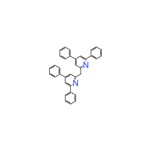 c1ccc(-c2cc(Cc3cc(-c4ccccc4)cc(-c4ccccc4)n3)nc(-c3ccccc3)c2)cc1